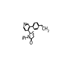 C=Cc1ccc(-c2cnccc2C2SCC(=O)N2C(C)C)cc1